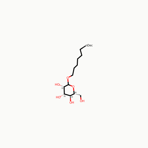 CCCCCCCCCCCCCCCCOC1O[C@H](CO)[C@@H](O)[C@H](O)[C@@H]1O